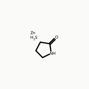 O=C1CCCN1.S.[Zn]